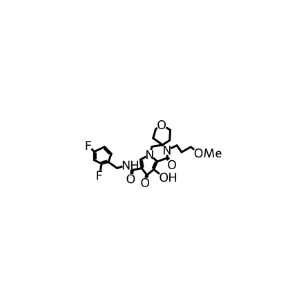 COCCCN1C(=O)c2c(O)c(=O)c(C(=O)NCc3ccc(F)cc3F)cn2CC12CCOCC2